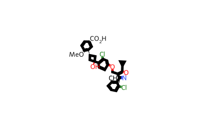 COc1ccc(C(=O)O)cc1[C@H]1C[C@@](O)(c2ccc(OCc3c(-c4c(C)cccc4Cl)noc3C3CC3)cc2Cl)C1